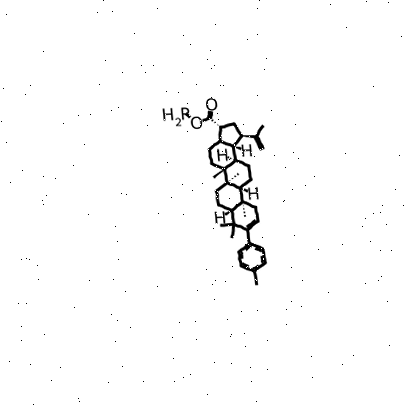 C=C(C)[C@@H]1C[C@@H](C(=O)OP)C2CC[C@]3(C)[C@H](CC[C@@H]4[C@@]5(C)CC=C(c6ccc(C)cc6)C(C)(C)[C@@H]5CC[C@]43C)[C@H]21